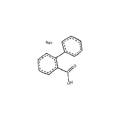 O=S(O)c1ccccc1-c1ccccc1.[NaH]